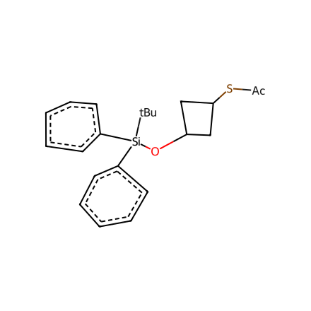 CC(=O)SC1CC(O[Si](c2ccccc2)(c2ccccc2)C(C)(C)C)C1